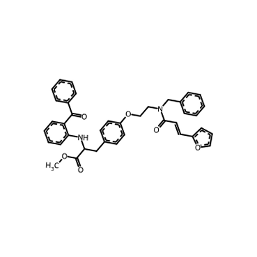 COC(=O)C(Cc1ccc(OCCN(Cc2ccccc2)C(=O)C=Cc2ccco2)cc1)Nc1ccccc1C(=O)c1ccccc1